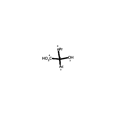 CCCC(O)(C(C)=O)C(=O)O